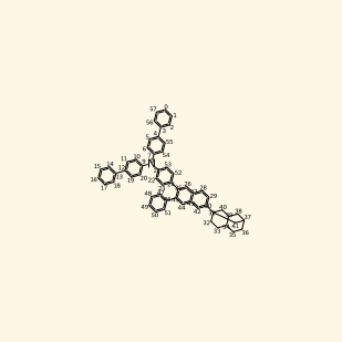 c1ccc(-c2ccc(N(c3ccc(-c4ccccc4)cc3)c3ccc(-c4cc5ccc(C67CCC8CCC(CC8C6)C7)cc5cc4-c4ccccc4)cc3)cc2)cc1